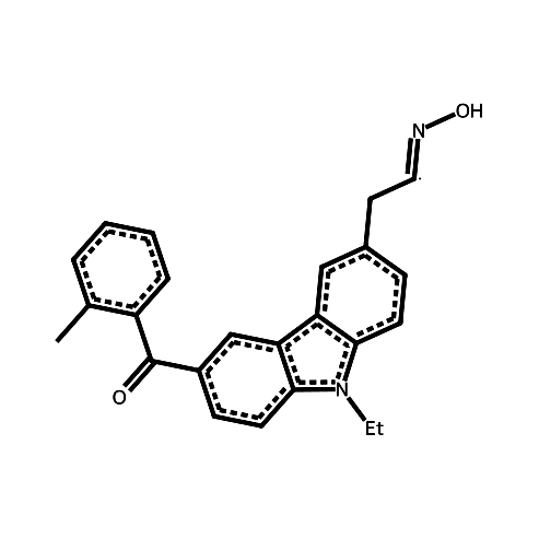 CCn1c2ccc(C[C]=NO)cc2c2cc(C(=O)c3ccccc3C)ccc21